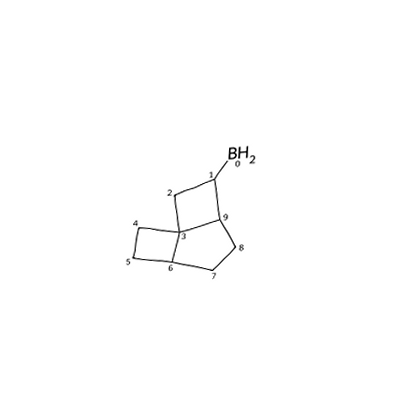 BC1CC23CCC2CCC13